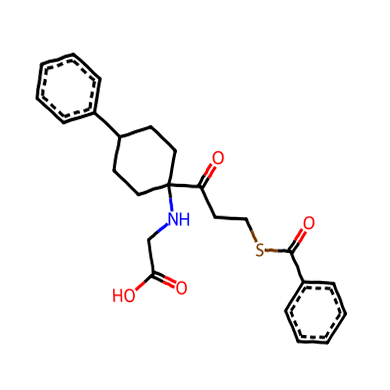 O=C(O)CNC1(C(=O)CCSC(=O)c2ccccc2)CCC(c2ccccc2)CC1